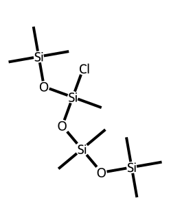 C[Si](C)(C)O[Si](C)(C)O[Si](C)(Cl)O[Si](C)(C)C